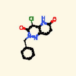 O=c1ccc2nn(Cc3ccccc3)c(=O)c(Cl)c2[nH]1